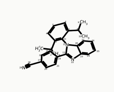 CC(C)c1cccc(C(C)C)c1-n1c(-c2ccc(C#N)cc2)nc2ccccc21